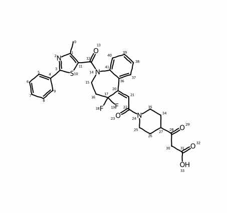 Cc1nc(-c2ccccc2)sc1C(=O)N1CCC(F)(F)/C(=C\C(=O)N2CCC(C(=O)CC(=O)O)CC2)c2ccccc21